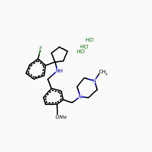 COc1ccc(CNC2(c3ccccc3F)CCCC2)cc1CN1CCN(C)CC1.Cl.Cl.Cl